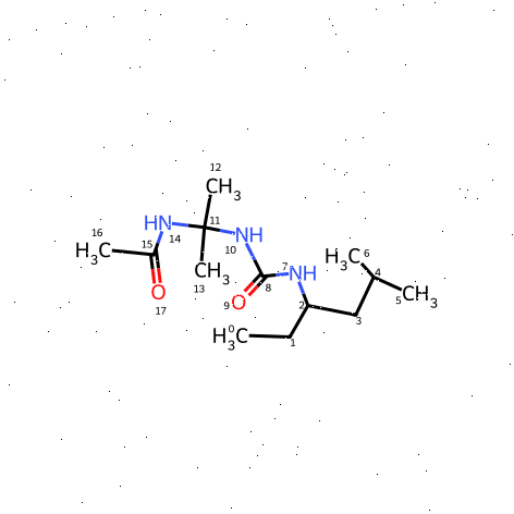 CCC(CC(C)C)NC(=O)NC(C)(C)NC(C)=O